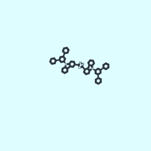 c1ccc(-c2cc(-c3ccccc3)cc(-n3c4ccccc4c4cc(-c5nnc(-c6cccc7c6c6ccccc6n7-c6cc(-c7ccccc7)cc(-c7ccccc7)c6)o5)ccc43)c2)cc1